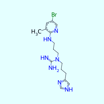 Cc1cc(Br)cnc1NCCCN(CCCc1c[nH]cn1)C(=N)N